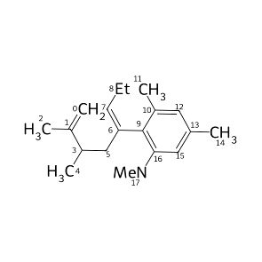 C=C(C)C(C)C/C(=C/CC)c1c(C)cc(C)cc1NC